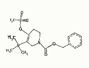 C[Si](C)(C)C1=C(OS(=O)(=O)C(F)(F)F)CCN(C(=O)OCc2ccccc2)C1